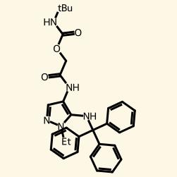 CCn1ncc(NC(=O)COC(=O)NC(C)(C)C)c1NC(c1ccccc1)(c1ccccc1)c1ccccc1